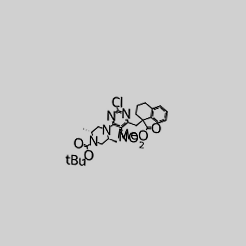 COC(=O)C1(Cc2nc(Cl)nc(N3C[C@@H](C)N(C(=O)OC(C)(C)C)C[C@@H]3C)c2[N+](=O)[O-])CCCc2ccccc21